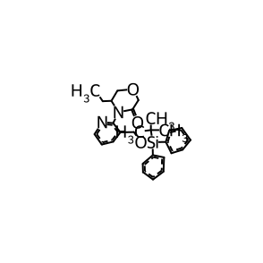 CCC1COCC(=O)N1c1ncccc1CO[Si](c1ccccc1)(c1ccccc1)C(C)(C)C